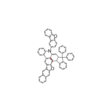 C1=CC2c3ccccc3C(c3ccccc3)(c3ccccc3)C2C=C1N(c1ccc2oc3ccccc3c2c1)c1ccccc1-c1ccc2oc3cc4ccccc4cc3c2c1